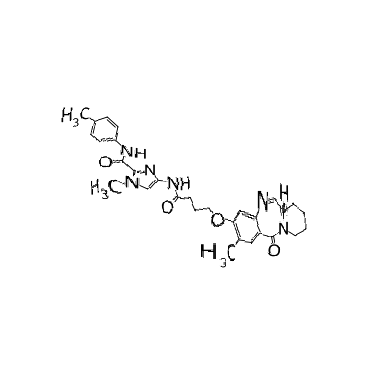 Cc1ccc(NC(=O)c2nc(NC(=O)CCCOc3cc4c(cc3C)C(=O)N3CCCC[C@H]3C=N4)cn2C)cc1